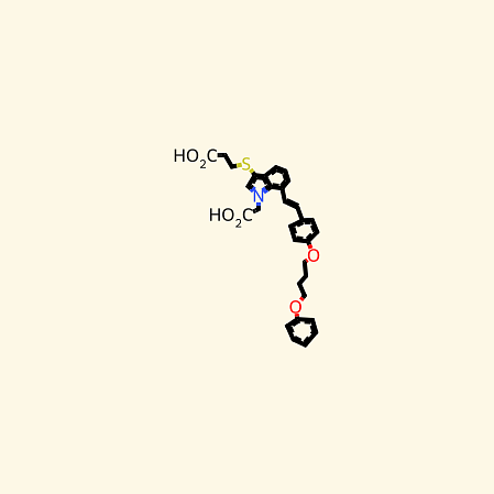 O=C(O)CCSc1cn(CC(=O)O)c2c(C=Cc3ccc(OCCCCOc4ccccc4)cc3)cccc12